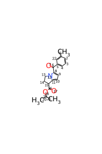 Cc1cccc(C(=O)c2ccc3n2CCC3C(=O)OC(C)C)c1